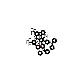 N#Cc1c(-c2ccc(N(c3ccccc3)c3ccccc3)cc2)c(-c2ccc(N(c3ccccc3)c3ccccc3)cc2)c(-n2c3ccccc3c3cc(C(F)(F)F)ccc32)c(C#N)c1-n1c2ccccc2c2cc(C(F)(F)F)ccc21